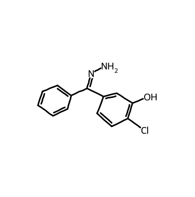 NN=C(c1ccccc1)c1ccc(Cl)c(O)c1